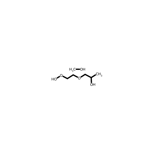 CC(O)COCCOO.CO